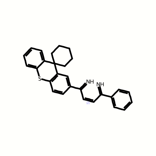 N=C(/C=C\C(=N)c1ccc2c(c1)C1(CCCCC1)c1ccccc1S2)c1ccccc1